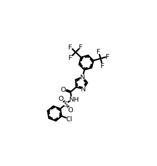 O=C(NS(=O)(=O)c1ccccc1Cl)c1cn(-c2cc(C(F)(F)F)cc(C(F)(F)F)c2)cn1